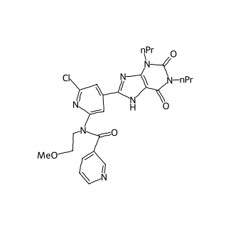 CCCn1c(=O)c2[nH]c(-c3cc(Cl)nc(N(CCOC)C(=O)c4cccnc4)c3)nc2n(CCC)c1=O